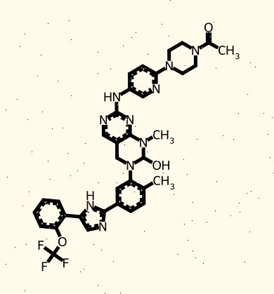 CC(=O)N1CCN(c2ccc(Nc3ncc4c(n3)N(C)C(O)N(c3cc(-c5ncc(-c6ccccc6OC(F)(F)F)[nH]5)ccc3C)C4)cn2)CC1